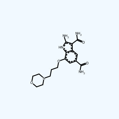 NC(=O)c1cc(OCCCN2CCOCC2)c2[nH]c(N)c(C(N)=O)c2c1